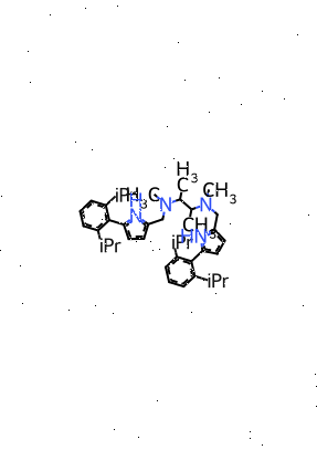 CC(C)c1cccc(C(C)C)c1-c1ccc(CN(C)C(C)C(C)N(C)Cc2ccc(-c3c(C(C)C)cccc3C(C)C)[nH]2)[nH]1